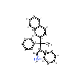 CC(c1ccccc1)(c1ccc2ccccc2c1)c1c[nH]c2ccccc12